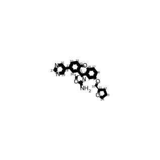 NC1=N[C@]2(CO1)c1cc(OC[C@H]3CCCO3)ccc1Oc1ccc(-c3cncnc3)cc12